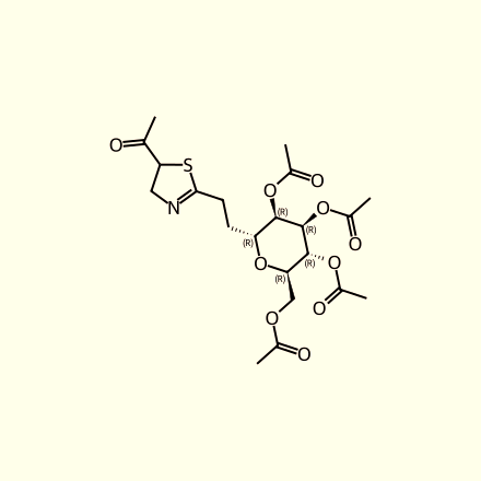 CC(=O)OC[C@H]1O[C@H](CCC2=NCC(C(C)=O)S2)[C@@H](OC(C)=O)[C@@H](OC(C)=O)[C@@H]1OC(C)=O